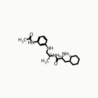 CC(=O)Nc1cccc(NC[C@H](C)NC(=O)[C@@H](N)CC2CCCCC2)c1